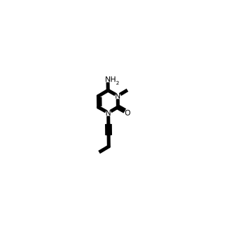 CCC#CN1C=CC(N)N(C)C1=O